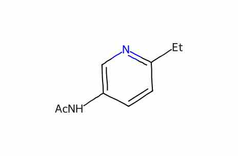 CCc1ccc(NC(C)=O)cn1